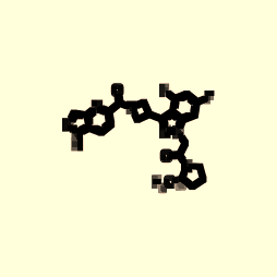 O=C(c1ccc2[nH]ncc2n1)N1CC(c2nn(CC(=O)N3CCC[C@H]3C(F)(F)F)c3cc(F)cc(F)c23)C1